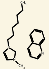 CCCCCCCN1C=CN(C)C1.c1ccc2ncccc2c1